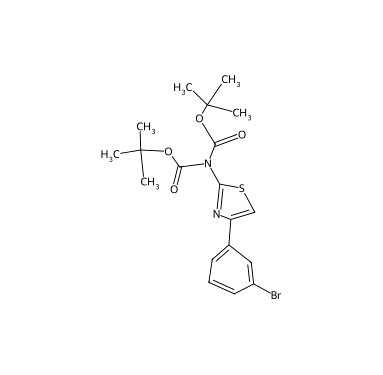 CC(C)(C)OC(=O)N(C(=O)OC(C)(C)C)c1nc(-c2cccc(Br)c2)cs1